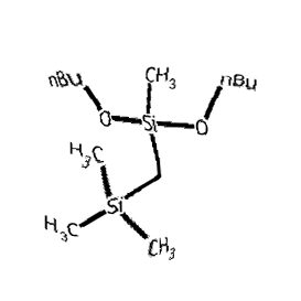 CCCCO[Si](C)(C[Si](C)(C)C)OCCCC